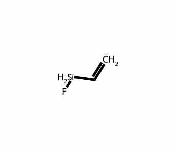 C=C[SiH2]F